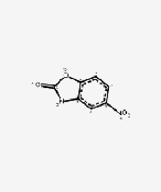 O=C1[N]c2cc([N+](=O)[O-])ccc2O1